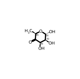 C[C@H]1O[C@H](O)[C@@H](O)[C@@H](O)C1=O